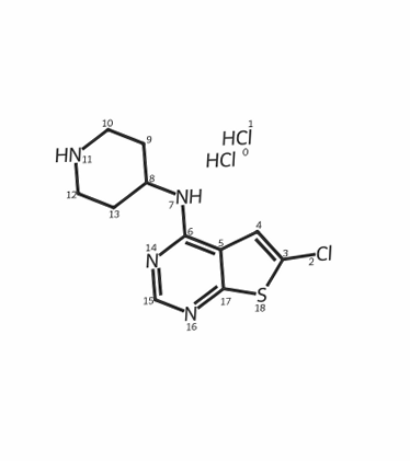 Cl.Cl.Clc1cc2c(NC3CCNCC3)ncnc2s1